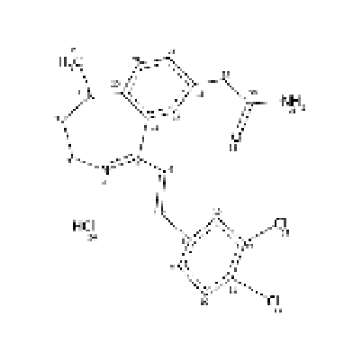 CN1CCN=C(/C=C/c2ccc(Cl)c(Cl)c2)c2cc(CC(N)=O)ccc21.Cl